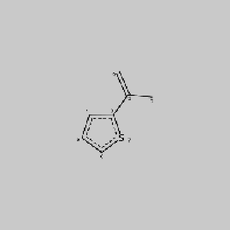 C=C(C)c1cccs1